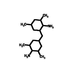 CC1CC(C)C(N)C(CC2CC(C)C(N)C(C)C2)C1